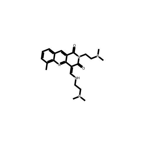 Cc1cccc2cc3c(nc12)/C(=C/NCCN(C)C)C(=O)N(CCN(C)C)C3=O